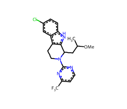 COC(C)CC1c2[nH]c3ccc(Cl)cc3c2CCN1c1nccc(C(F)(F)F)n1